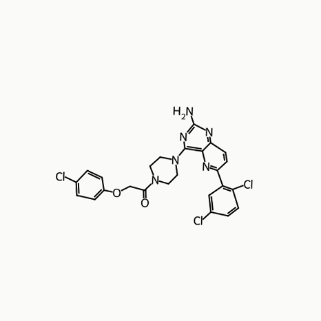 Nc1nc(N2CCN(C(=O)COc3ccc(Cl)cc3)CC2)c2nc(-c3cc(Cl)ccc3Cl)ccc2n1